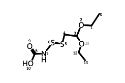 CCOC(CSSNC(=O)O)OCC